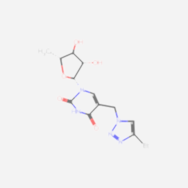 CCc1cn(Cc2cn([C@@H]3O[C@H](C)C(O)[C@@H]3O)c(=O)[nH]c2=O)nn1